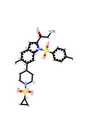 Cc1ccc(S(=O)(=O)n2c(C(=O)CC#N)cc3cc(C)c(C4CCN(S(=O)(=O)C5CC5)CC4)cc32)cc1